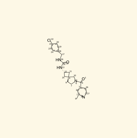 Cc1cc(C(=O)N2CC[C@]3(C2)C[C@@H](NC(=O)NCc2ccc(Cl)cc2)C3)ccn1